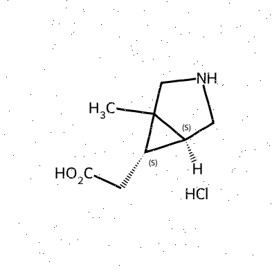 CC12CNC[C@H]1[C@@H]2CC(=O)O.Cl